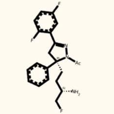 CC(=O)N1N=C(c2cc(F)ccc2F)C[C@]1(CC[C@H](N)CF)c1ccccc1